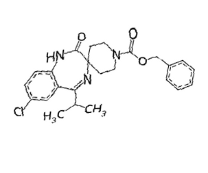 CC(C)C1=NC2(CCN(C(=O)OCc3ccccc3)CC2)C(=O)Nc2ccc(Cl)cc21